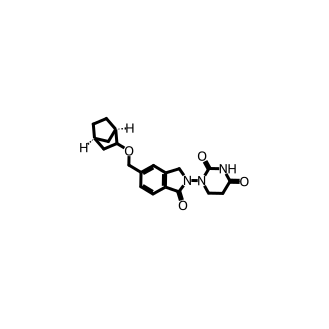 O=C1CCN(N2Cc3cc(COC4C[C@H]5CC[C@@H]4C5)ccc3C2=O)C(=O)N1